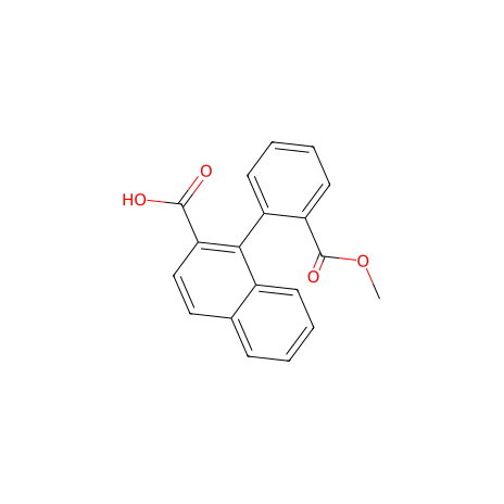 COC(=O)c1ccccc1-c1c(C(=O)O)ccc2ccccc12